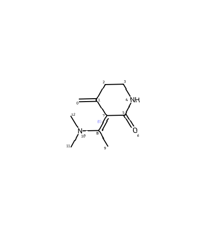 C=C1CCNC(=O)/C1=C(\C)N(C)C